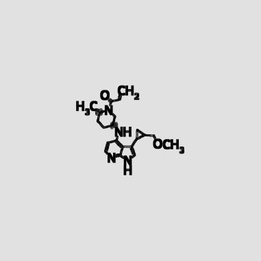 C=CC(=O)N1C[C@H](Nc2ccnc3[nH]cc(C4CC4COC)c23)CC[C@@H]1C